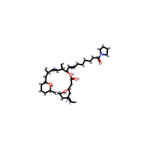 C/C=C1\CC2CC(=O)OC(/C=C/CCCCCC(=O)N3CCCC3)C(C)/C=C/C(C)CC3CCCC(CC(C1)O2)O3